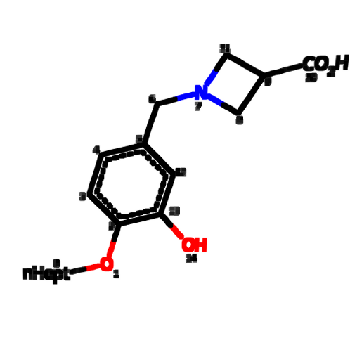 CCCCCCCOc1ccc(CN2CC(C(=O)O)C2)cc1O